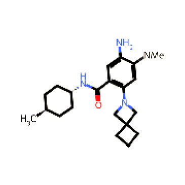 CNc1cc(N2CC3(CCC3)C2)c(C(=O)N[C@H]2CC[C@H](C)CC2)cc1N